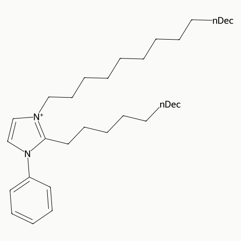 CCCCCCCCCCCCCCCCCCC[n+]1ccn(-c2ccccc2)c1CCCCCCCCCCCCCCC